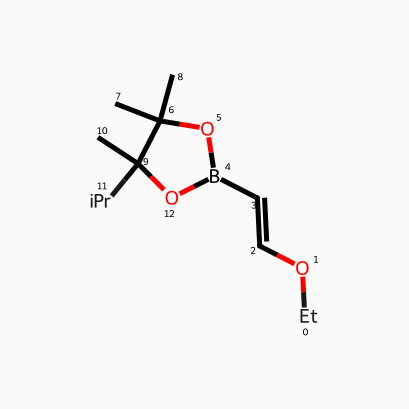 CCO/C=C/B1OC(C)(C)C(C)(C(C)C)O1